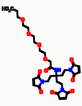 O=C(O)CCOCCOCCOCCOCC(=O)NC(CCN1C(=O)C=CC1=O)(CCN1C(=O)C=CC1=O)CCN1C(=O)C=CC1=O